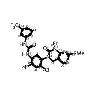 CCN1C(=O)N(c2cc(NC(=O)Nc3cccc(C(F)(F)F)c3)c(F)cc2Cl)Cc2cnc(SC)nc21